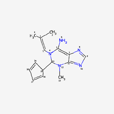 CC(C)=CN1C(N)=C2N=CN=C2N(C)C1C1C=CC=C1